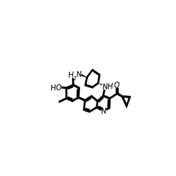 Cc1cc(-c2ccc3ncc(C(=O)C4CC4)c(N[C@H]4CC[C@H](N)CC4)c3c2)cc(C)c1O